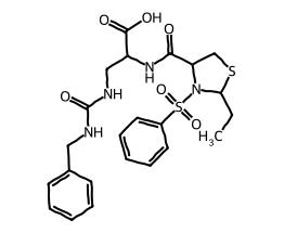 CCC1SCC(C(=O)NC(CNC(=O)NCc2ccccc2)C(=O)O)N1S(=O)(=O)c1ccccc1